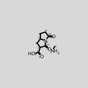 CN.O=C(O)C1CC2CCC(=O)N2C1=O